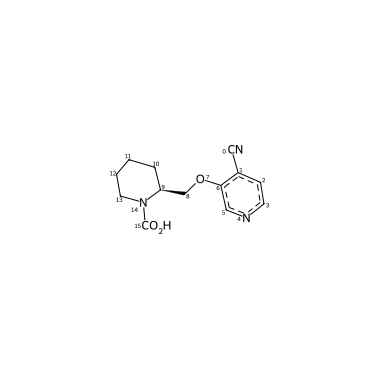 N#Cc1ccncc1OC[C@@H]1CCCCN1C(=O)O